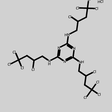 Cl.ClC(CNc1nc(NCC(Cl)CC(Cl)(Cl)Cl)nc(NCC(Cl)CC(Cl)(Cl)Cl)n1)CC(Cl)(Cl)Cl